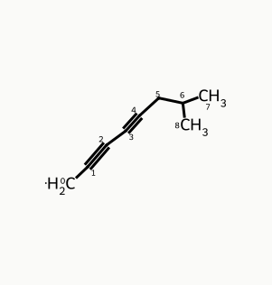 [CH2]C#CC#CCC(C)C